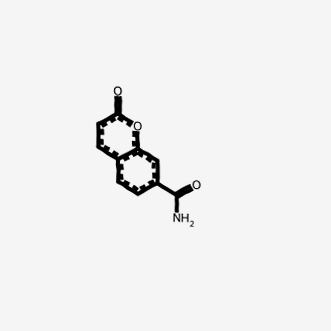 NC(=O)c1ccc2ccc(=O)oc2c1